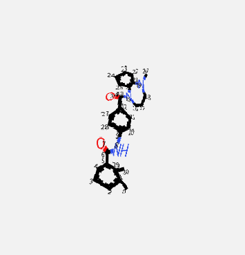 Cc1cccc(C(=O)Nc2ccc(C(=O)N3CCCN(C)c4ccccc43)cc2)c1C